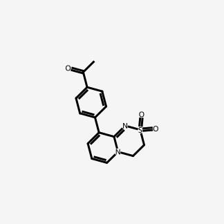 CC(=O)c1ccc(C2=CC=CN3CCS(=O)(=O)N=C23)cc1